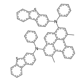 Cc1cc(N(c2ccccc2)c2ccc3c(c2)sc2ccccc23)c2ccc3c(N(c4ccccc4)c4ccc5c(c4)sc4ccccc45)cc(C)c4c5ccccc5c1c2c34